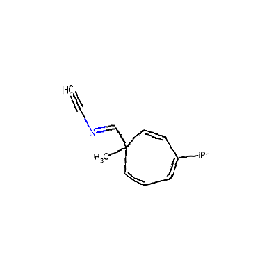 C#C/N=C/C1(C)C=CC=C(C(C)C)C=C1